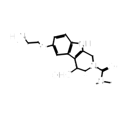 CN(C)C(=O)N1Cc2[nH]c3ccc(OCCN)cc3c2C(C=O)C1